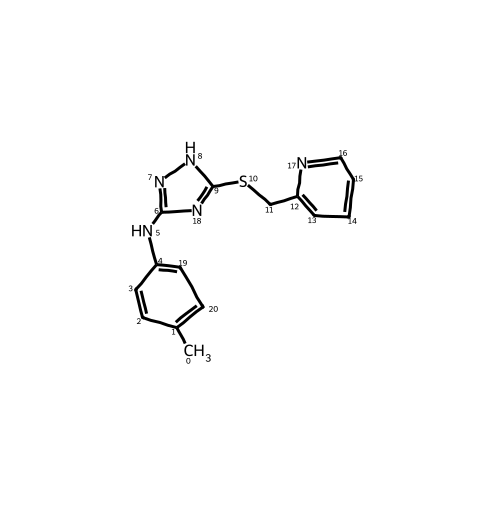 Cc1ccc(Nc2n[nH]c(SCc3ccccn3)n2)cc1